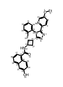 CCOc1ccc(-c2nnc([C@H]3C[C@H](NC(=O)c4cccc5cc(O)ccc45)C3)n2-c2ccccc2F)nc1